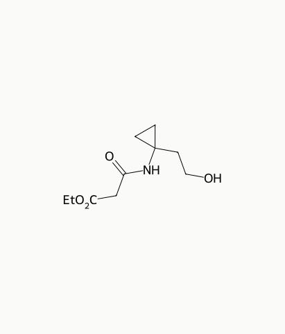 CCOC(=O)CC(=O)NC1(CCO)CC1